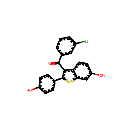 O=C(c1cccc(Cl)c1)c1c(-c2ccc(O)cc2)sc2cc(O)ccc12